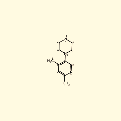 Cc1cc(C)c(N2CCNCC2)cn1